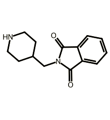 O=C1c2ccccc2C(=O)N1CC1CCNCC1